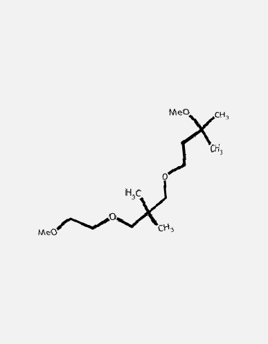 COCCOCC(C)(C)COCCC(C)(C)OC